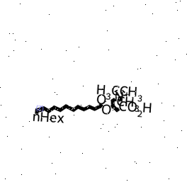 CCCCCC/C=C\CCCCCCCCCC(=O)OC(CC(=O)O)C[N+](C)(C)C